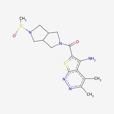 Cc1nnc2sc(C(=O)N3CC4CN([S+](C)[O-])CC4C3)c(N)c2c1C